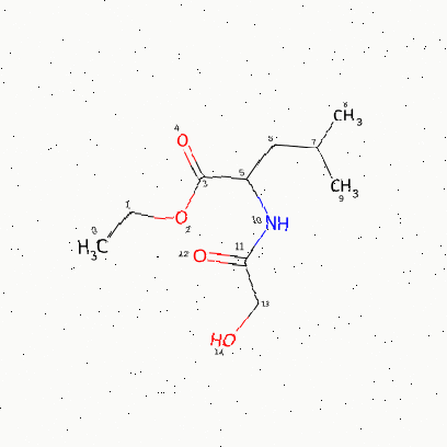 CCOC(=O)C(CC(C)C)NC(=O)CO